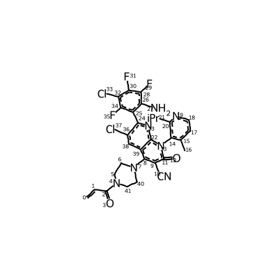 C=CC(=O)N1CCN(c2c(C#N)c(=O)n(-c3c(C)ccnc3C(C)C)c3nc(-c4c(N)c(F)c(F)c(Cl)c4F)c(Cl)cc23)CC1